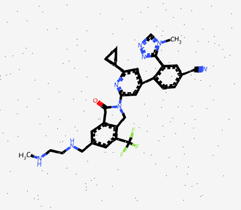 CNCCNCc1cc2c(c(C(F)(F)F)c1)CN(c1cc(-c3ccc(C#N)cc3-c3nncn3C)cc(C3CC3)n1)C2=O